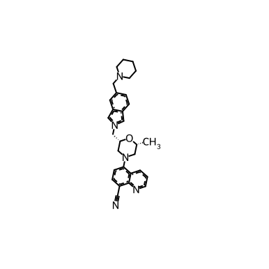 C[C@@H]1CN(c2ccc(C#N)c3ncccc23)C[C@H](Cn2cc3ccc(CN4CCCCC4)cc3c2)O1